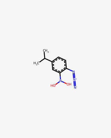 CC(C)c1ccc(N=[N+]=[N-])c(N(O)O)c1